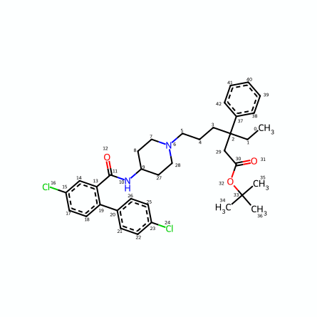 CCC(CCCN1CCC(NC(=O)c2cc(Cl)ccc2-c2ccc(Cl)cc2)CC1)(CC(=O)OC(C)(C)C)c1ccccc1